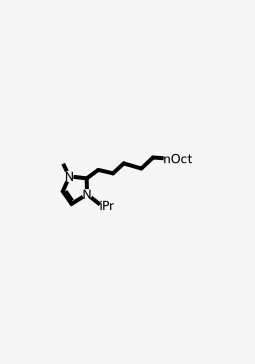 CCCCCCCCCCCCCC1N(C)C=CN1C(C)C